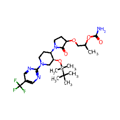 CC(COC1CCN([C@@H]2CCN(c3ncc(C(F)(F)F)cn3)C[C@@H]2O[Si](C)(C)C(C)(C)C)C1=O)OC(N)=O